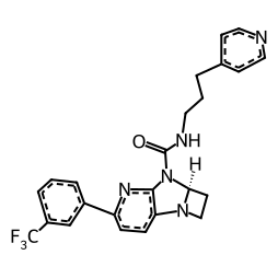 O=C(NCCCc1ccncc1)N1c2nc(-c3cccc(C(F)(F)F)c3)ccc2N2CC[C@@H]21